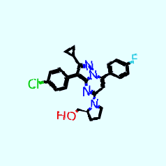 OC[C@@H]1CCCN1c1cc(-c2ccc(F)cc2)n2nc(C3CC3)c(-c3ccc(Cl)cc3)c2n1